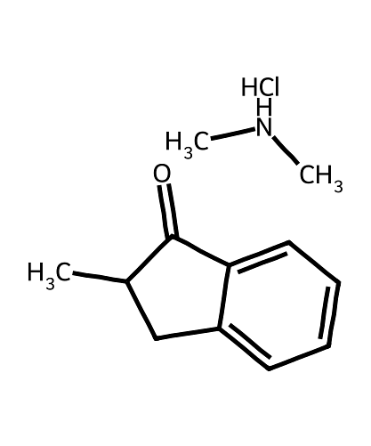 CC1Cc2ccccc2C1=O.CNC.Cl